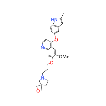 COc1cc2c(Oc3ccc4[nH]c(C)cc4c3)ccnc2cc1OCCCN1CCC2(COC2)C1